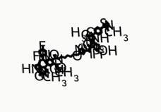 Cc1ncsc1-c1ccc(C2(C)NC(C3C[C@@H](O)CN3C(=O)C(c3cc(OCCCCCNC(=O)c4cc5c(cc4CS(C)(=O)=O)-c4cn(C)c(=O)c6[nH]cc(c46)CN5c4ncc(F)cc4F)no3)C(C)C)=NC2=O)cc1